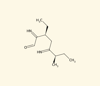 CC[C@@H](CC(=N)[C@H](C)CC)C(=N)C=O